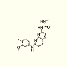 CCNC(=O)Nc1cnc2ccc(Nc3ccc(C)c(OC)c3)nc2n1